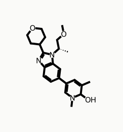 COC[C@H](C)n1c(C2CCOCC2)nc2ccc(C3=CN(C)C(O)C(C)=C3)cc21